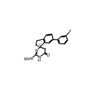 CNC1=N[C@@]2(CCc3ccc(-c4cccc(F)c4)cc32)CC(=O)N1